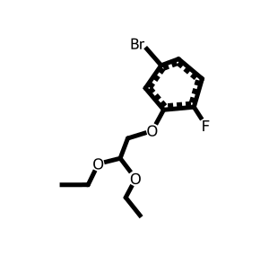 CCOC(COc1cc(Br)ccc1F)OCC